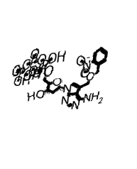 Nc1ncnc2c1c(COCc1ccccc1[N+](=O)[O-])cn2[C@H]1C[C@@H](O)C(COP(=O)(O)OP(=O)(O)OP(=O)(O)O)O1